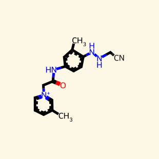 Cc1ccc[n+](CC(=O)Nc2ccc(NNCC#N)c(C)c2)c1